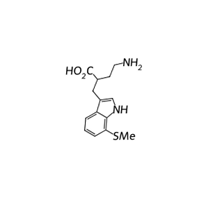 CSc1cccc2c(CC(CCN)C(=O)O)c[nH]c12